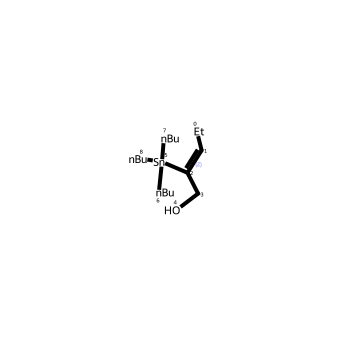 CC/C=[C](/CO)[Sn]([CH2]CCC)([CH2]CCC)[CH2]CCC